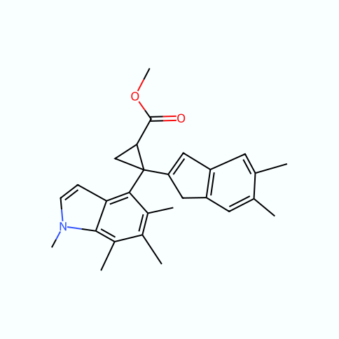 COC(=O)C1CC1(C1=Cc2cc(C)c(C)cc2C1)c1c(C)c(C)c(C)c2c1ccn2C